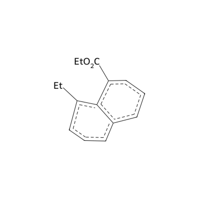 CCOC(=O)c1cccc2cccc(CC)c12